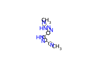 CN1CC=C(c2cnc3[nH]cc(-c4ccc5ncnc(NC6CCN(C)CC6)c5c4)c3c2)CC1